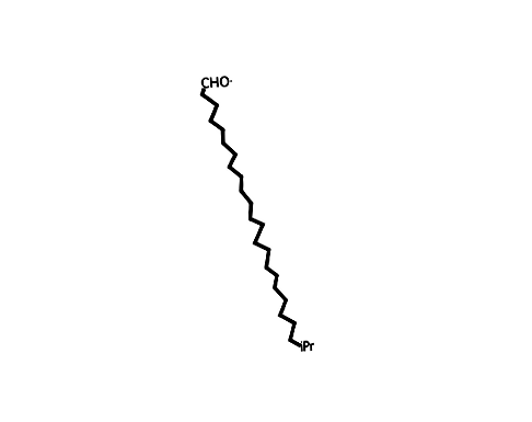 CC(C)CCCCCCCCCCCCCCCCCCCCC[C]=O